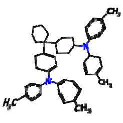 CC1=C=CC=C(N(C2=CC=C(C3(C4CCC(N(c5ccc(C)cc5)C5C=CC(C)=CC5)CC4)CCCCC3)CC2)c2ccc(C)cc2)C=C1